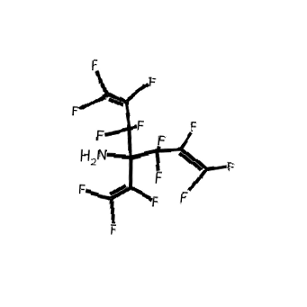 NC(C(F)=C(F)F)(C(F)(F)C(F)=C(F)F)C(F)(F)C(F)=C(F)F